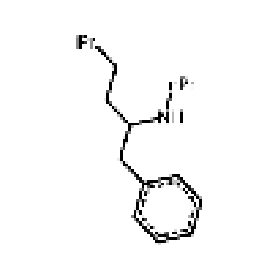 [CH2]CCNC(CCC(C)C)Cc1ccccc1